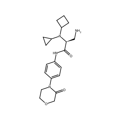 NC[C@@H](C(=O)Nc1ccc(N2CCOCC2=O)cc1)N(C1CCC1)C1CC1